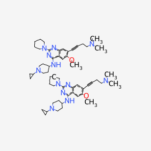 COc1cc2c(NC3CCN(C4CC4)CC3)nc(N3CCCCC3)nc2cc1C#CCCN(C)C.COc1cc2c(NC3CCN(C4CC4)CC3)nc(N3CCCCC3)nc2cc1C#CCCN(C)C